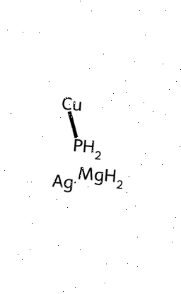 [Ag].[MgH2].[PH2][Cu]